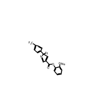 CCC1(c2ccc(C(F)(F)F)cc2)C=C(C(=O)Oc2ccccc2OC)C=N1